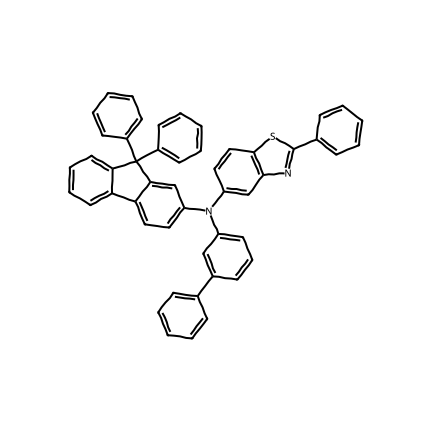 c1ccc(-c2cccc(N(c3ccc4c(c3)C(c3ccccc3)(c3ccccc3)c3ccccc3-4)c3ccc4sc(-c5ccccc5)nc4c3)c2)cc1